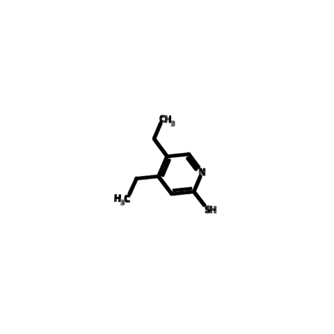 CCc1cnc(S)cc1CC